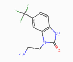 NCCn1c(=O)[nH]c2ccc(C(F)(F)F)cc21